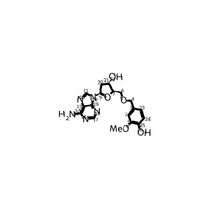 COc1cc(COC[C@H]2O[C@@H](n3cnc4c(N)ncnc43)C[C@@H]2O)ccc1O